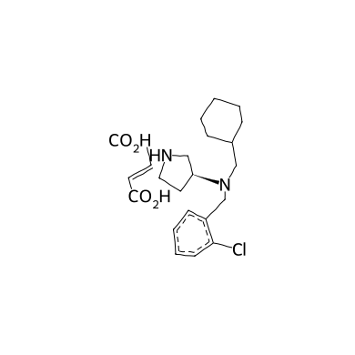 Clc1ccccc1CN(CC1CCCCC1)[C@H]1CCNC1.O=C(O)/C=C/C(=O)O